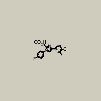 Cc1cc(-c2cn(-c3ccc(F)cc3)c(CC(=O)O)n2)ccc1Cl